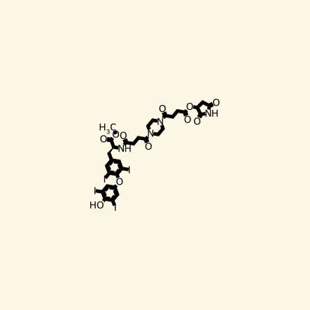 COC(=O)[C@H](Cc1cc(I)c(Oc2cc(I)c(O)c(I)c2)c(I)c1)NC(=O)CCC(=O)N1CCN(C(=O)CCC(=O)OC2CC(=O)NC2=O)CC1